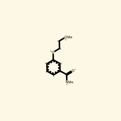 CNC(=O)c1cccc(OCCOC)c1